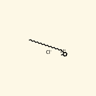 CCCCCCCCCCCCCCCCCCCC[N+](C)(C)c1ccccc1C.[Cl-]